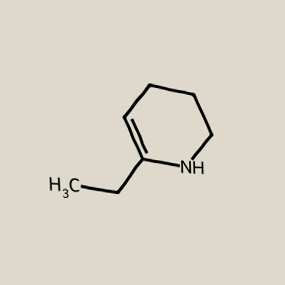 CCC1=CCCCN1